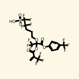 C=C(C(=O)OC(OCCCC(F)(F)C(F)(F)S(=O)(=O)O)(C(=O)Oc1ccc(C(F)(F)F)cc1)C(F)(F)F)C(F)(F)F